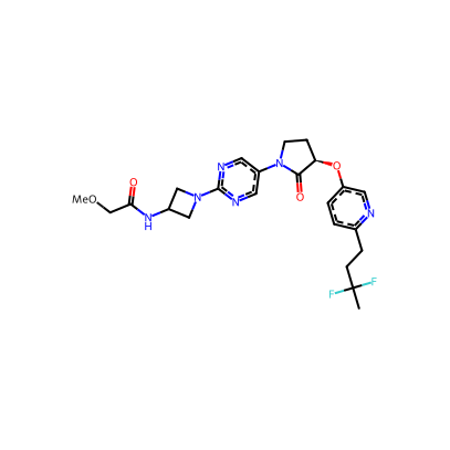 COCC(=O)NC1CN(c2ncc(N3CC[C@@H](Oc4ccc(CCC(C)(F)F)nc4)C3=O)cn2)C1